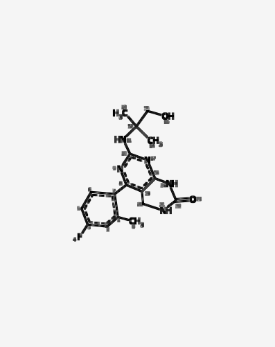 Cc1cc(F)ccc1-c1nc(NC(C)(C)CO)nc2c1CNC(=O)N2